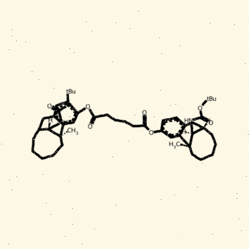 CC(C)(C)OC(=O)N[C@H]1C2CCCCC[C@]1(C)c1cc(OC(=O)CCCCC(=O)Oc3ccc4c(c3)[C@@]3(C)CCCCC[C@@H](C4)[C@@H]3NC(=O)OC(C)(C)C)ccc1C2